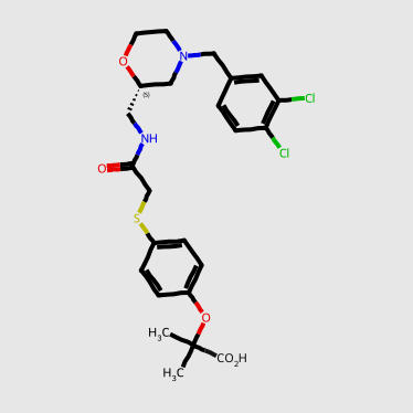 CC(C)(Oc1ccc(SCC(=O)NC[C@H]2CN(Cc3ccc(Cl)c(Cl)c3)CCO2)cc1)C(=O)O